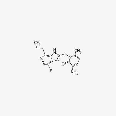 Cc1ccc(N)c(=O)n1Cc1nc2c(F)cnc(CCC(F)(F)F)c2[nH]1